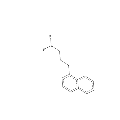 F[C](F)CCCc1cccc2ccccc12